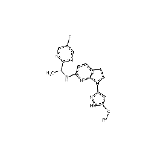 CC(C)Oc1cc(-n2cnc3ccc(NC(C)c4ncc(F)cn4)nc32)n[nH]1